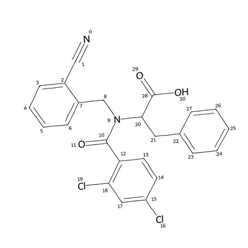 N#Cc1ccccc1CN(C(=O)c1ccc(Cl)cc1Cl)C(Cc1ccccc1)C(=O)O